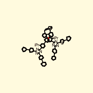 CC(C)c1cc(-c2ccc(-c3cccc4c3-c3c(-c5ccc(-c6nc(-c7ccc(-c8ccccc8)cc7)nc(-c7ccc(-c8ccccc8)cc7)n6)c(C(C)C)c5)cccc3C3CC5CC(C3)C4C5)cc2)ccc1-c1nc(-c2ccc(-c3ccccc3)cc2)nc(-c2ccc(-c3ccccc3)cc2)n1